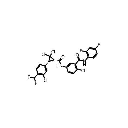 O=C(Nc1ccc(F)cc1F)c1cc(NC(=O)[C@@H]2[C@@H](c3ccc(C(F)F)c(Cl)c3)C2(Cl)Cl)ccc1Cl